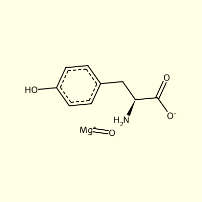 N[C@@H](Cc1ccc(O)cc1)C(=O)[O-].[O]=[Mg+]